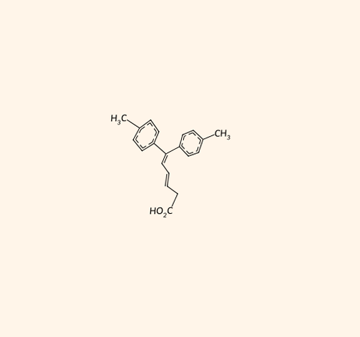 Cc1ccc(C(=C/C=C/CC(=O)O)c2ccc(C)cc2)cc1